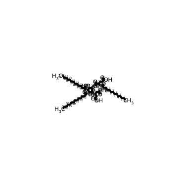 CCCCCCCCCCCCCC(=O)NC(CCC(=O)O)C(=O)OC[C@H]1O[C@@H](OC(CC(=O)O)CC(=O)O)[C@H](NC(=O)CCCCCCCCCCCCC)[C@@H](OC(=O)CCCCCCCCCCCCC)[C@@H]1O